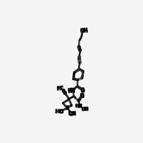 C#CC1(C(NC(=O)c2ccc(C#CC#CCCO)cc2)C(=O)NO)CS(O)(O)C1